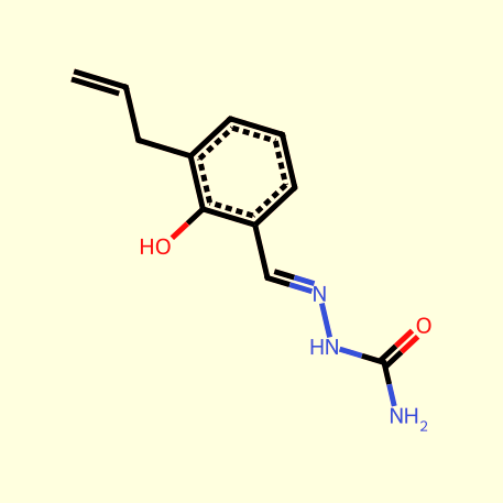 C=CCc1cccc(/C=N/NC(N)=O)c1O